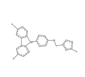 Fc1ccc2c(c1)-c1cc(F)ccc1[SH]2c1ccc(OCc2ccc(I)o2)cc1